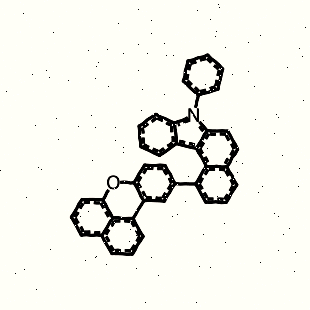 c1ccc(-n2c3ccccc3c3c4c(-c5ccc6c(c5)-c5cccc7cccc(c57)O6)cccc4ccc32)cc1